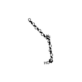 O=CCCOCCOCCOCCOCCn1cc(COCCOCCOCCOCCN2CC[C@@H](O)C2)nn1